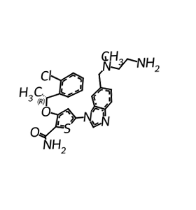 C[C@@H](Oc1cc(-n2cnc3ccc(CN(C)CCN)cc32)sc1C(N)=O)c1ccccc1Cl